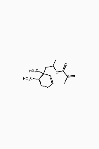 C=C(C)C(=O)OC(C)CC1(C(=O)O)C=CCCC1C(=O)O